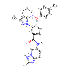 Cc1nc2ccc(N(C)C(=O)c3cccc(-n4nc(C(F)(F)F)c5c4N(Oc4ccc(C(=O)O)cc4)CCC5)c3)cn2n1